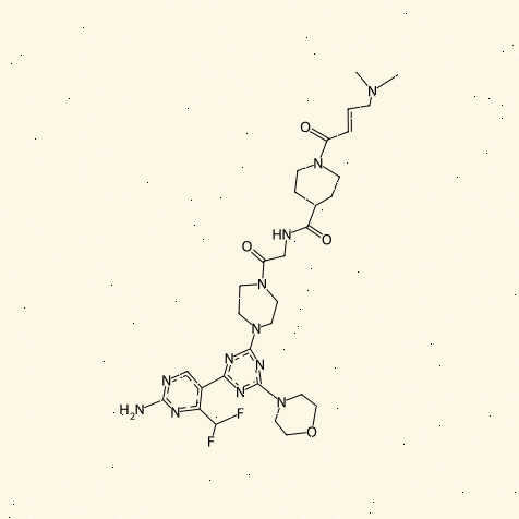 CN(C)C/C=C/C(=O)N1CCC(C(=O)NCC(=O)N2CCN(c3nc(-c4cnc(N)nc4C(F)F)nc(N4CCOCC4)n3)CC2)CC1